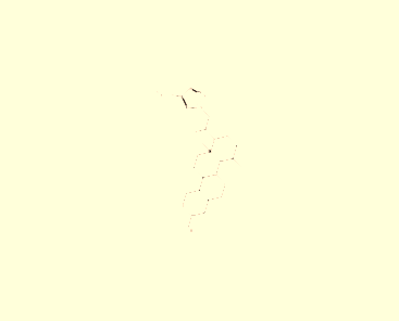 CCCC1CCC2C(CCC3C2CCC2(C)C(C(O)Cn4cc(C#N)cn4)CCC(C)C32)C1